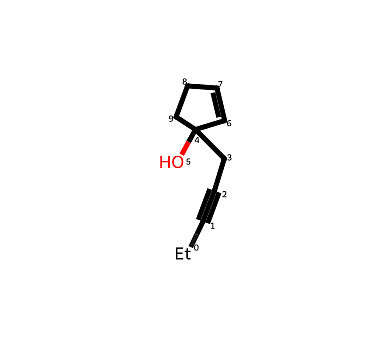 CCC#CCC1(O)C=CCC1